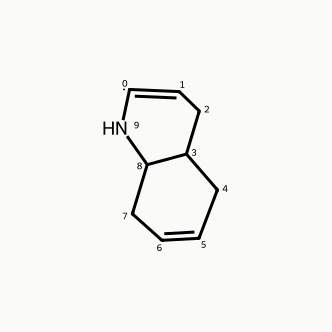 [C]1=CCC2CC=CCC2N1